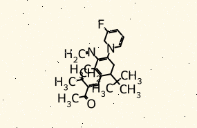 C=NC1=C(N2C=CC=C(F)C2)CC(C(C)(C)C)C(/C=C(\C(=C)C)C(C)=O)=C1C